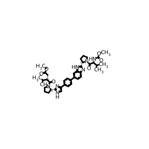 COC(=O)C[C@H](C(=O)N1CCC[C@H]1c1nc(-c2ccc(-c3ccc4nc([C@@H]5CCCN5C(=O)[C@@H](NC(=O)OC)C(C)C)[nH]c4c3)cc2)c[nH]1)C(C)C